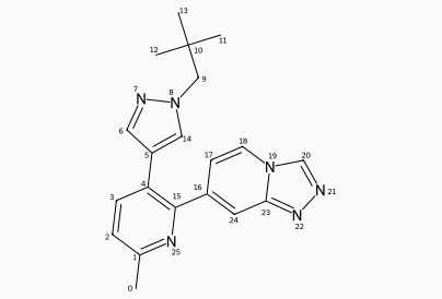 Cc1ccc(-c2cnn(CC(C)(C)C)c2)c(-c2ccn3cnnc3c2)n1